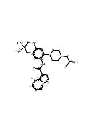 C[C@@]1(O)COc2cc(N3CCN(CC(F)F)CC3)c(NC(=O)c3cnn4cccnc34)cc2C1